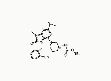 CN(C)c1cc(N2CCC[C@@H](NC(=O)OC(C)(C)C)C2)c2c(n1)n(C)c(=O)n2Cc1ccccc1C#N